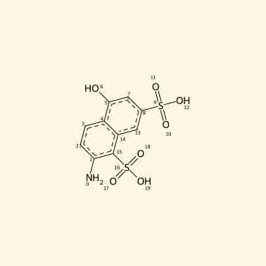 Nc1[c]cc2c(O)[c]c(S(=O)(=O)O)cc2c1S(=O)(=O)O